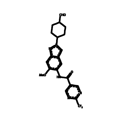 COc1cc2nn(C3CCC(C=O)CC3)cc2cc1NC(=O)c1cnc(C(F)(F)F)nc1